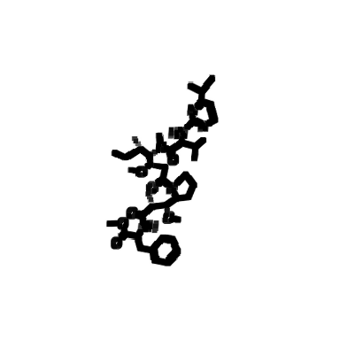 CC[C@H](C)[C@@H]([C@@H](CC(=O)N1CCCC1[C@H](OC)[C@@H](C)C(=O)NC(Cc1ccccc1)C(=O)OC)OC)N(C)C(=O)C(Nc1nccc(C(C)C)n1)C(C)C